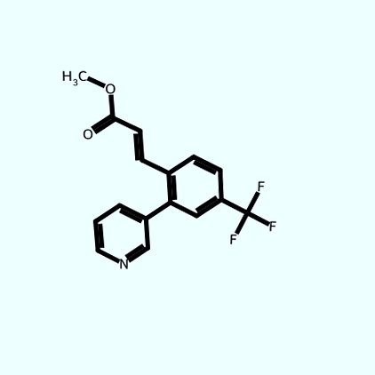 COC(=O)/C=C/c1ccc(C(F)(F)F)cc1-c1cccnc1